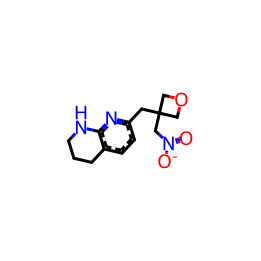 O=[N+]([O-])CC1(Cc2ccc3c(n2)NCCC3)COC1